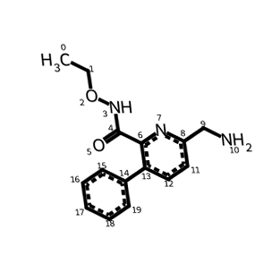 CCONC(=O)c1nc(CN)ccc1-c1ccccc1